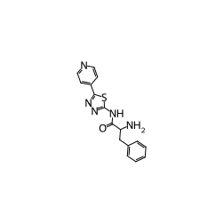 NC(Cc1ccccc1)C(=O)Nc1nnc(-c2ccncc2)s1